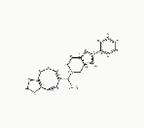 CC(C1=C/CCC2=C(/C=C\1)CCO2)N1CCn2cc(-c3cccnc3)nc2C1